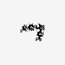 CC1=C(COc2ccc(-n3cc(F)cn3)nn2)C(c2ccc(C(F)F)cn2)N=N1